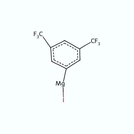 FC(F)(F)c1c[c]([Mg][I])cc(C(F)(F)F)c1